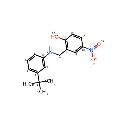 CC(C)(C)c1cccc(NCc2cc([N+](=O)[O-])ccc2O)c1